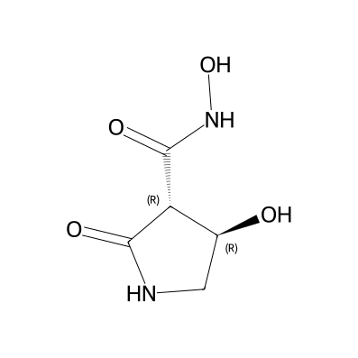 O=C(NO)[C@H]1C(=O)NC[C@@H]1O